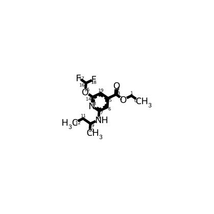 CCOC(=O)c1cc(NC(C)CC)nc(OC(F)F)c1